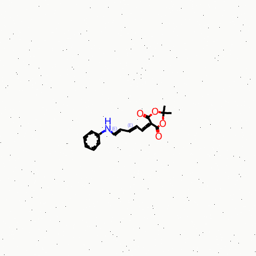 CC1(C)OC(=O)C(=C/C=C/C=C/Nc2ccccc2)C(=O)O1